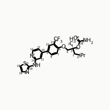 CC(C)C[C@@](C)(COc1ccc(-c2ccnc(Nc3nccs3)c2)cc1C(F)(F)F)OC(N)=O